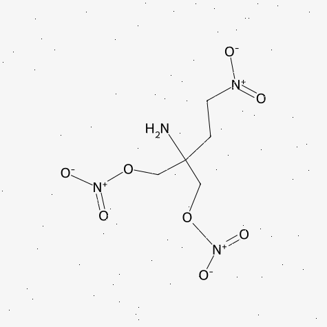 NC(CC[N+](=O)[O-])(CO[N+](=O)[O-])CO[N+](=O)[O-]